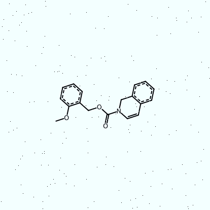 COc1ccccc1COC(=O)N1C=Cc2ccccc2C1